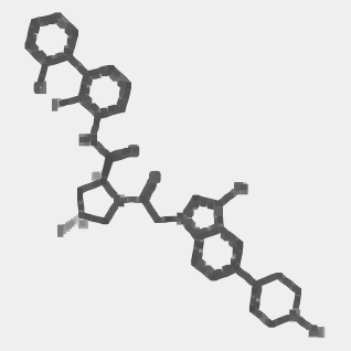 CCc1cn(CC(=O)N2C[C@H](F)C[C@H]2C(=O)Nc2cccc(-c3ccccc3Cl)c2F)c2ccc(C3=CCN(C(C)=O)CC3)cc12